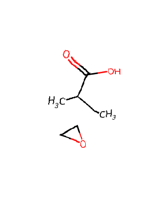 C1CO1.CC(C)C(=O)O